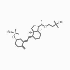 C=C1CC[C@H](O[Si](C)(C)C(C)(C)C)C/C1=C\C=C1/CCC[C@]2(C)[C@@H]([C@H](C)OCCC(C)(C)O)CC[C@@H]12